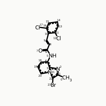 Cc1nc2c(NC(=O)/C=C/c3c(Cl)cccc3Cl)cccn2c1Br